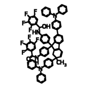 CC1(c2ccc(N(c3ccccc3)c3ccccc3)cc2)C=CC2=C(C1)C(c1ccc(NC(=O)c3cc(F)c(F)c(F)c3F)cc1)(c1ccc(NC(O)c3cc(F)c(F)c(F)c3F)cc1)c1cc(-c3ccc(N(c4ccccc4)c4ccccc4)cc3)ccc12